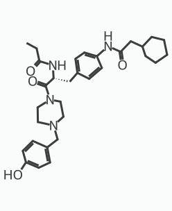 CCC(=O)N[C@H](Cc1ccc(NC(=O)CC2CCCCC2)cc1)C(=O)N1CCN(Cc2ccc(O)cc2)CC1